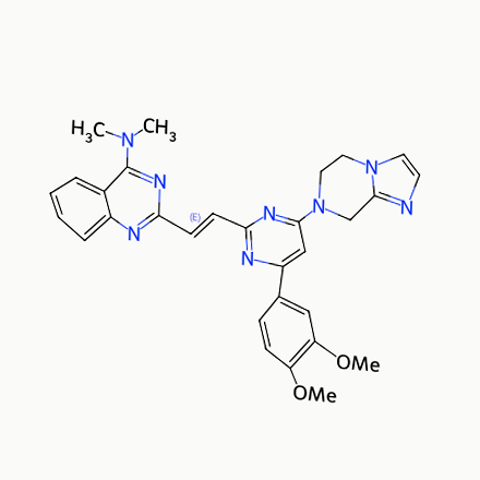 COc1ccc(-c2cc(N3CCn4ccnc4C3)nc(/C=C/c3nc(N(C)C)c4ccccc4n3)n2)cc1OC